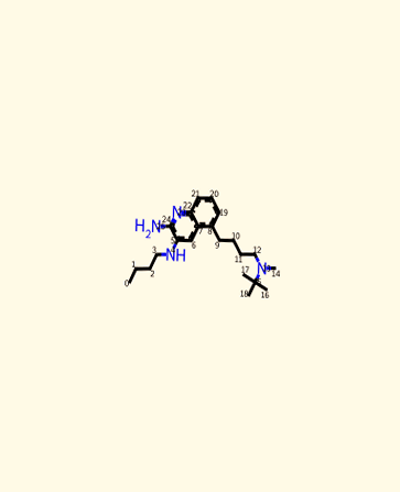 CCCCNc1cc2c(CCCCN(C)C(C)(C)C)cccc2nc1N